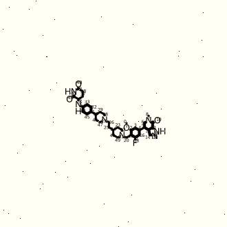 COc1cc(-c2cn(C)c(=O)c3[nH]ncc23)cc(F)c1CN1CCC(CCN2CCC(c3ccc(NC4CCC(=O)NC4=O)cc3)CC2)CC1